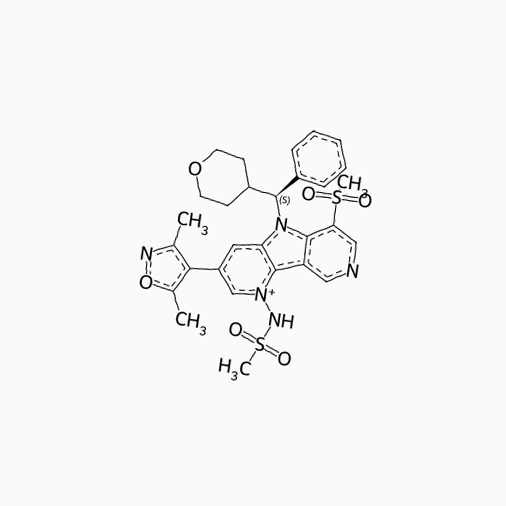 Cc1noc(C)c1-c1cc2c(c3cncc(S(C)(=O)=O)c3n2[C@H](c2ccccc2)C2CCOCC2)[n+](NS(C)(=O)=O)c1